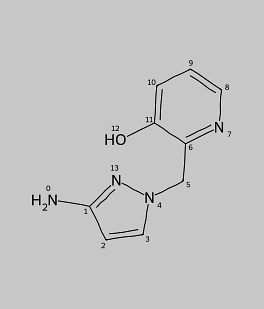 Nc1ccn(Cc2ncccc2O)n1